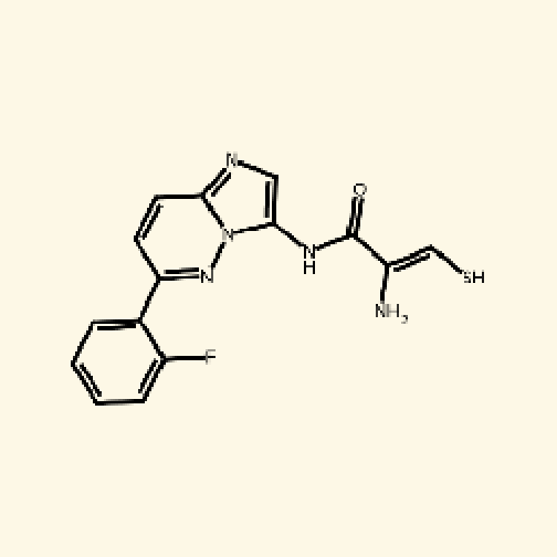 N/C(=C\S)C(=O)Nc1cnc2ccc(-c3ccccc3F)nn12